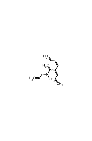 C=C/C=C\C(=C\C=C)C(=C)N(C)CC=C